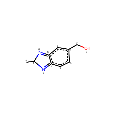 CC1N=c2ccc(CO)cc2=N1